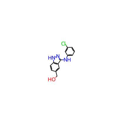 OCc1ccc2[nH]nc(Nc3cccc(Cl)c3)c2c1